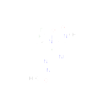 C[C@@H]1CN(c2cc(Nc3ccc4c(c3)c3c(c(=O)n4C)OCC(F)(F)[C@H](C4CC4)N3)c(Cl)cn2)CCO1